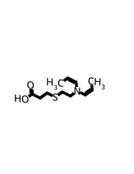 C/C=C\N(/C=C\C)CCSCCC(=O)O